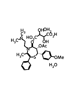 COc1ccc([C@@H]2SC(c3ccccc3)=C(C)N(CCN(C)C)C(=O)[C@@H]2OC(C)=O)cc1.O.O.O=C(O)C(O)C(O)C(=O)O